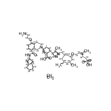 C.C.Cc1c(-c2ccc(N3CCc4c(OCCN)ccc(C(=O)Nc5nc6ccccc6s5)c4C3)nc2C(=O)O)cnn1C[C]1CC(C)CC(C)CC(OCCN(C)CCS(=O)(=O)O)C1